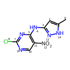 Cc1cc(Nc2nc(Cl)ncc2[N+](=O)[O-])n[nH]1